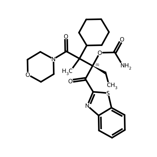 CC[C@@](OC(N)=O)(C(=O)c1nc2ccccc2s1)C(C)(C(=O)N1CCOCC1)C1CCCCC1